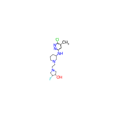 Cc1cc(N[C@@H]2CCCN(CCN3CC(O)C(F)C3)C2)nnc1Cl